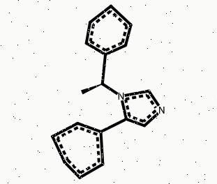 C[C@@H](c1ccccc1)n1cncc1-c1ccccc1